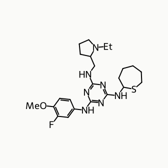 CCN1CCCC1CNc1nc(Nc2ccc(OC)c(F)c2)nc(NC2CCCCCS2)n1